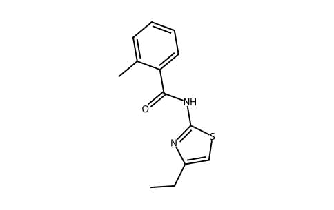 CCc1csc(NC(=O)c2ccccc2C)n1